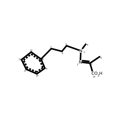 CC(=NN(C)CCCc1ccccc1)C(=O)O